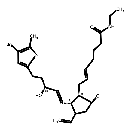 C=CC1CC(O)[C@H](CC=CCCCC(=O)NCC)[C@H]1C=C[C@@H](O)CCc1cc(Br)c(C)s1